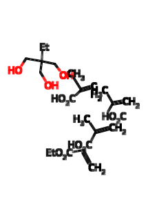 C=C(C)C(=O)O.C=C(C)C(=O)O.C=C(C)C(=O)O.C=CC(=O)OCC.CCC(CO)(CO)CO